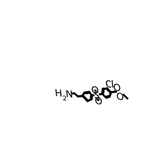 CCOC(=O)c1ccc(S(=O)(=O)c2ccc(CCN)cc2)cc1Cl